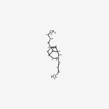 CCCCN1CC2CN(CCCC)CC(C1)C2O